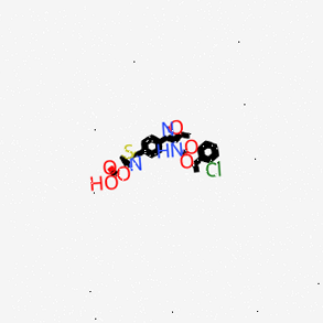 Cc1onc(-c2ccc(-c3nc(OC(=O)O)cs3)cc2)c1NC(=O)OC(C)c1ccccc1Cl